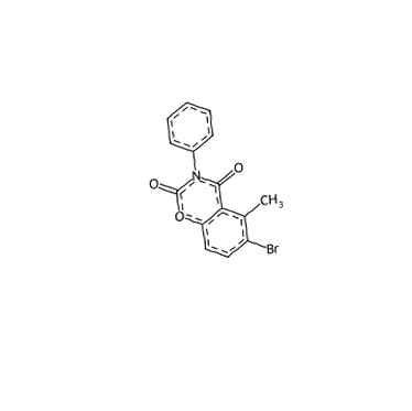 Cc1c(Br)ccc2oc(=O)n(-c3ccccc3)c(=O)c12